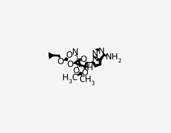 CC1(C)O[C@H]2[C@H](c3ccc4c(N)ncnn34)O[C@]3(C#N)C(OC(=O)OCC4CC4)[C@]23O1